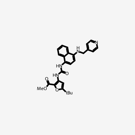 COC(=O)c1oc(C(C)(C)C)cc1NC(=O)Nc1ccc(NCc2ccncc2)c2ccccc12